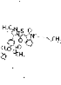 CCCCCCCN1C(=O)/C(=c2\sc3n(c2=O)C(c2ccc(OC(=O)c4ccco4)c(C(=O)OC)c2)C=C(C)N=3)c2ccccc21